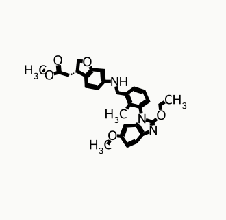 CCOc1nc2ccc(OC)cc2n1-c1cccc(CNc2ccc3c(c2)OC[C@H]3CC(=O)OC)c1C